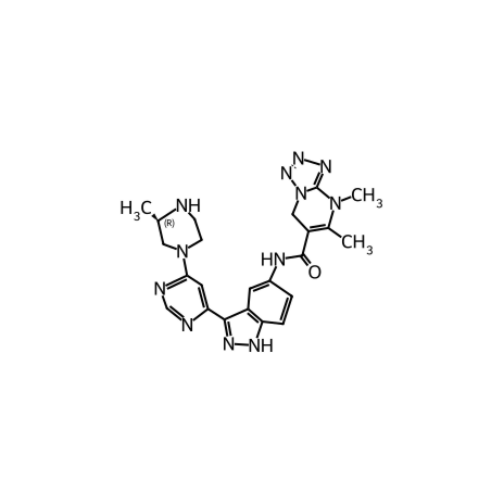 CC1=C(C(=O)Nc2ccc3[nH]nc(-c4cc(N5CCN[C@H](C)C5)ncn4)c3c2)Cn2nnnc2N1C